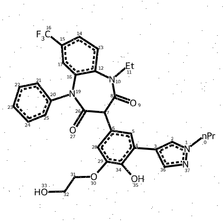 CCCn1cc(-c2cc(C3C(=O)N(CC)c4ccc(C(F)(F)F)cc4N(c4ccccc4)C3=O)cc(OCCO)c2O)cn1